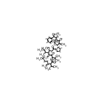 CCC(C)C(C(CC(=O)N1CCC[C@H]1C(OC)C(C)C(=O)NC(C)C(O)c1ccccc1)OC)N(C)C(=O)C(NC(=O)C(C(C)C)N(C)CCSC)C(C)C